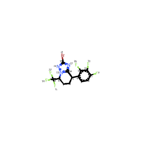 Fc1ccc(C2CCC(C(F)(F)F)n3nc(Br)nc32)c(F)c1F